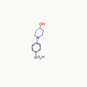 O=S(=O)(O)c1ccc(N2CCC(O)CC2)cc1